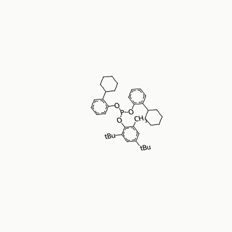 Cc1cc(C(C)(C)C)cc(C(C)(C)C)c1OP(Oc1ccccc1C1CCCCC1)Oc1ccccc1C1CCCCC1